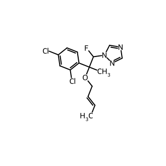 CC=CCOC(C)(c1ccc(Cl)cc1Cl)C(F)n1cncn1